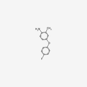 Cc1cc(Oc2ccc(F)cc2)ccc1N